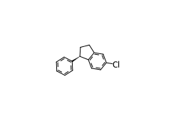 Clc1ccc2c(c1)CC[C@@H]2c1ccccc1